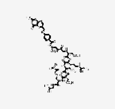 CCN(CC)C(=S)SSC[C@@H](NC(=O)[C@H](CC(=O)O)NC(=O)[C@H](CC(=O)O)NC(=O)[C@H](CCCNC(=N)N)NC(=O)[C@H](CC(=O)O)NCC(=O)CC[C@H](NC(=O)c1ccc(NCc2cnc3nc(N)[nH]c(=O)c3n2)cc1)C(=O)O)C(=O)NCC(O)O